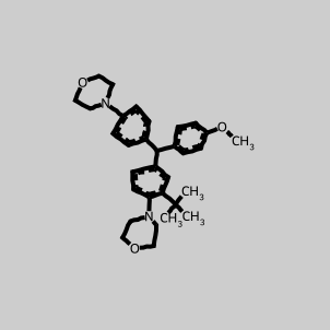 COc1ccc(C(c2ccc(N3CCOCC3)cc2)c2ccc(N3CCOCC3)c(C(C)(C)C)c2)cc1